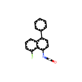 O=C=Nc1ccc(-c2ccccc2)c2cccc(F)c12